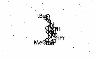 CCCC(CCO[Si](C)(C)C(C)(C)C)Oc1nc(N(Cc2ccc(OC)cc2)Cc2ccc(OC)cc2)c2ncc(C(O)c3cnc(N4CCN(C(=O)OC(C)(C)C)CC4)c(C)c3)n2n1